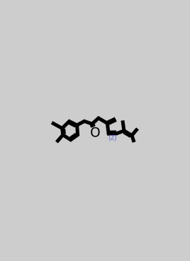 C=C(/C=C\C(C)=C(C)C)CC(=O)Cc1ccc(C)c(C)c1